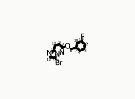 Fc1cccc(COc2ccc3ncc(Br)n3n2)c1